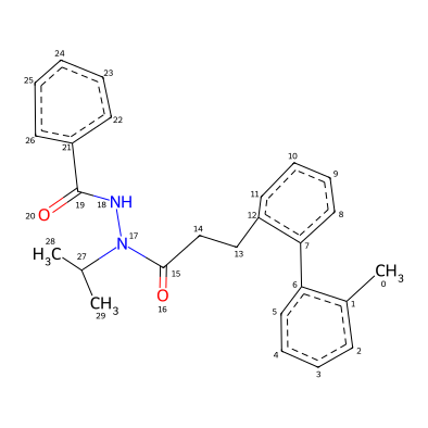 Cc1ccccc1-c1ccccc1CCC(=O)N(NC(=O)c1ccccc1)C(C)C